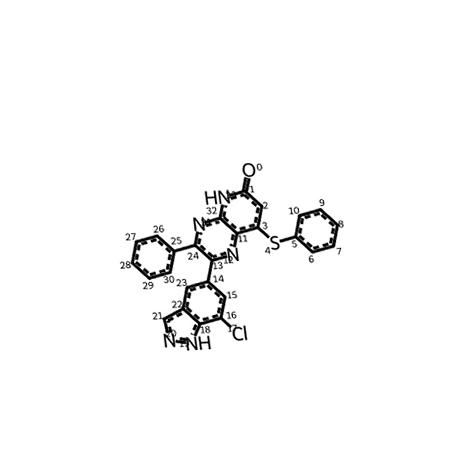 O=c1cc(Sc2ccccc2)c2nc(-c3cc(Cl)c4[nH]ncc4c3)c(-c3ccccc3)nc2[nH]1